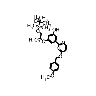 COc1ccc(COc2ccnc(-c3cc(O)cc(O[C@@H](C)CO[Si](C)(C)C(C)(C)C)c3)n2)cc1